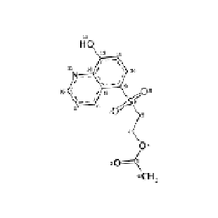 CC(=O)OCCS(=O)(=O)c1ccc(O)c2ncccc12